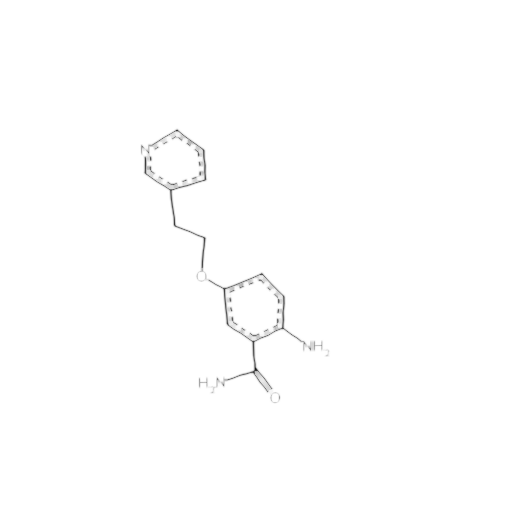 NC(=O)c1cc(OCCc2cccnc2)ccc1N